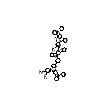 N#Cc1ccc(-n2c3ccc(-c4cccc(-n5c6ccccc6c6cc7c(cc65)c5ccccc5n7-c5cc(-n6c7ccccc7c7cc8c(cc76)c6ccccc6n8-c6ccccc6)c(C#N)cc5C#N)c4)cc3c3cc4c(cc32)c2ccccc2n4-c2ccccc2)cc1C#N